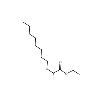 CCCCCCCCOC(C)C(=O)OCC